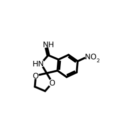 N=C1NC2(OCCO2)c2ccc([N+](=O)[O-])cc21